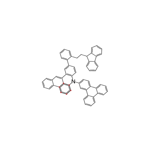 c1ccc(N(c2ccc3c4ccccc4c4ccccc4c3c2)c2ccc(-c3ccccc3CCC3c4ccccc4-c4ccccc43)cc2-c2cc3ccccc3c3ccccc23)cc1